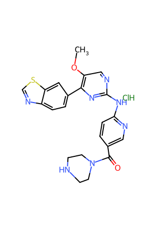 COc1cnc(Nc2ccc(C(=O)N3CCNCC3)cn2)nc1-c1ccc2ncsc2c1.Cl